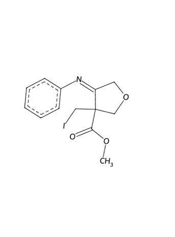 COC(=O)C1(CI)COCC1=Nc1ccccc1